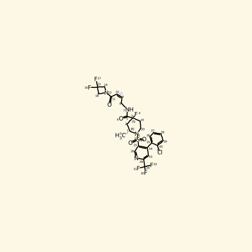 C[C@@H]1C[C@](F)(C(=O)NC/C=C\C(=O)N2CC(F)(F)C2)CCN1S(=O)(=O)c1cnc(C(F)(F)F)cc1-c1ccccc1Cl